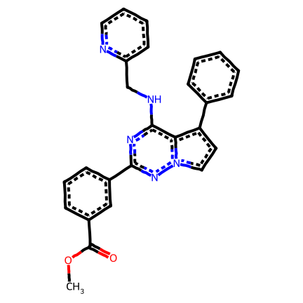 COC(=O)c1cccc(-c2nc(NCc3ccccn3)c3c(-c4ccccc4)ccn3n2)c1